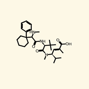 CNC(C(=O)N[C@H](C(=O)N(C)[C@@H](/C=C(\C)C(=O)O)C(C)C)C(C)(C)C)C1(c2ccccc2)CCCCC1